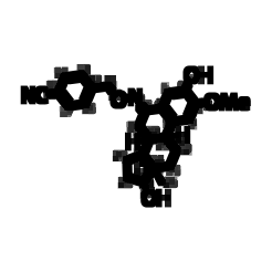 COc1cc2c(cc1O)C(=NOCc1ccc(C#N)cc1)C[C@@H]1[C@@H]2CC[C@]2(C)[C@@H](O)CC[C@@H]12